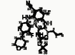 CCCC[C@@H](Nc1nc(Nc2cnc(N3CCOCC3)c(F)c2)c(C#N)cc1F)[C@H](C)NC(=O)OC(C)(C)C